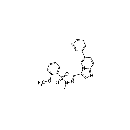 CN(N=Cc1cnc2ccc(-c3cccnc3)cn12)S(=O)(=O)c1ccccc1OC(F)(F)F